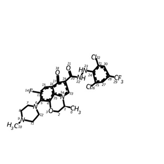 C[C@H]1COc2c(N3CCN(C)CC3)c(F)cc3c(=O)c(C(=O)NNc4c(Cl)cc(C(F)(F)F)cc4Cl)cn1c23